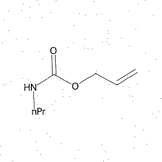 C=CCOC(=O)NCCC